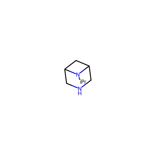 CC(C)N1C2CNCC1C2